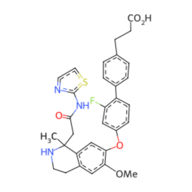 COc1cc2c(cc1Oc1ccc(-c3ccc(CCC(=O)O)cc3)c(F)c1)C(C)(CC(=O)Nc1nccs1)NCC2